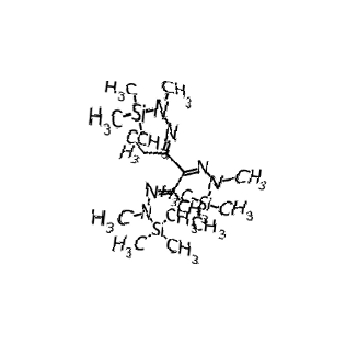 CCC(=NN(C)[Si](C)(C)C)C(=NN(C)[Si](C)(C)C)C(C)=NN(C)[Si](C)(C)C